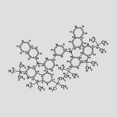 CC(C)(C)c1ccc2c(c1)C(C)(C)c1cc(C(C)(C)C)cc(N(c3cccc(-c4cccc(N(c5ccc6ccccc6c5)c5cc(C(C)(C)C)cc6c5-c5ccc(C(C)(C)C)cc5C6(C)C)c4)c3)c3ccc4ccccc4c3)c1-2